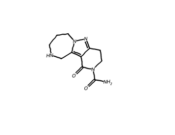 NC(=O)N1CCc2nn3c(c2C1=O)CNCCC3